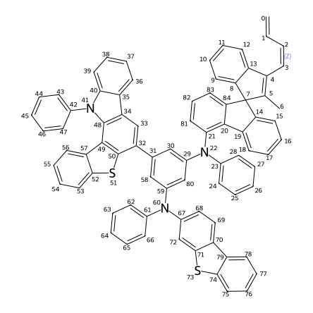 C=C/C=C\C1=C(C)C2(c3ccccc31)c1ccccc1-c1c(N(c3ccccc3)c3cc(-c4cc5c6ccccc6n(-c6ccccc6)c5c5c4sc4ccccc45)cc(N(c4ccccc4)c4ccc5c(c4)sc4ccccc45)c3)cccc12